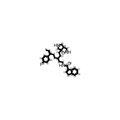 CC=C(CCC(CCNC(=O)C1=CCc2ccccc21)CCC12CNCC1CNO2)c1ccc(F)cc1